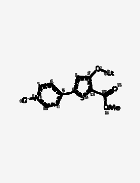 CCOc1cc(-c2cc[n+]([O-])cc2)sc1C(=O)OC